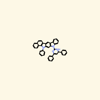 C1=C(c2ccccc2)N=C(n2c3ccccc3c3cc4c5ccc6ccccc6c5n(-c5ccccc5)c4cc32)NC1c1ccccc1